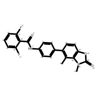 Cc1c(-c2ccc(NC(=O)c3c(F)cccc3F)cc2)ccc2oc(=O)n(C)c12